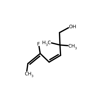 C/C=C(F)\C=C/C(C)(C)CO